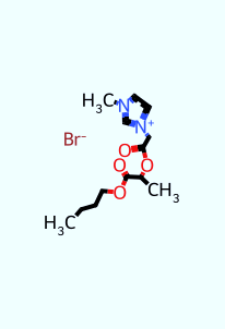 CCCCOC(=O)C(C)OC(=O)C[n+]1ccn(C)c1.[Br-]